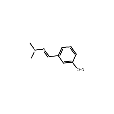 CN(C)N=Cc1cccc(C=O)c1